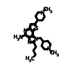 CCCCc1nc2c(N)nc3cc(C4CCN(C)CC4)sc3c2n1CC1CCN(C)CC1